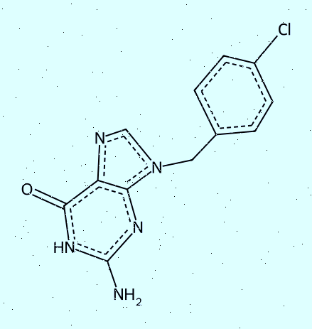 Nc1nc2c(ncn2Cc2ccc(Cl)cc2)c(=O)[nH]1